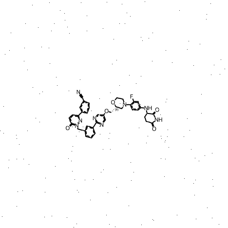 N#Cc1cccc(-c2ccc(=O)n(Cc3cccc(-c4ncc(OC[C@H]5CN(c6ccc(NC7CCC(=O)NC7=O)cc6F)CCO5)cn4)c3)n2)c1